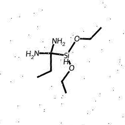 CCO[SiH](OCC)C(N)(N)CC